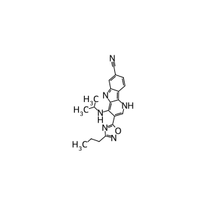 CCCc1noc(-c2c[nH]c3c4ccc(C#N)cc4nc-3c2NC(C)C)n1